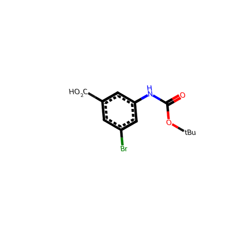 CC(C)(C)OC(=O)Nc1cc(Br)cc(C(=O)O)c1